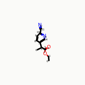 CCOC(=O)C(C)c1ccc(C#N)nc1